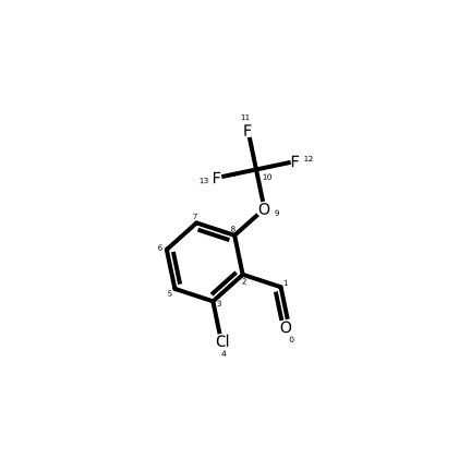 O=Cc1c(Cl)cccc1OC(F)(F)F